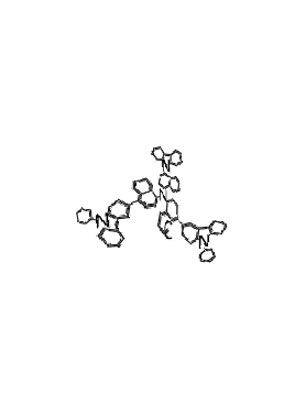 c1ccc(-n2c3ccccc3c3cc(-c4ccc(N(c5ccc(-c6ccc7c(c6)c6ccccc6n7-c6ccccc6)c6ccccc56)c5ccc(-n6c7ccccc7c7ccccc76)c6ccccc56)c5ccccc45)ccc32)cc1